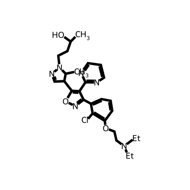 CCN(CC)CCOc1cccc(-c2noc(C3C=NN(CCC(C)O)C3C)c2-c2ncccn2)c1Cl